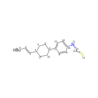 CCCCC=CC1CCC(c2ccc(N=C=S)cc2)CC1